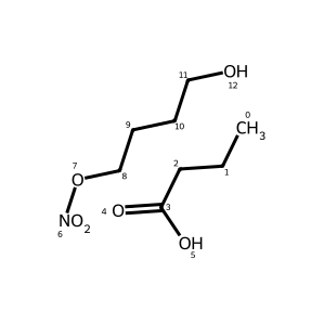 CCCC(=O)O.O=[N+]([O-])OCCCCO